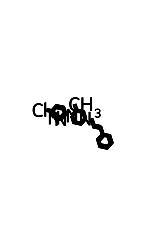 CC1CN(C/C=C/c2ccccc2)CCN1c1ccc(Cl)nn1